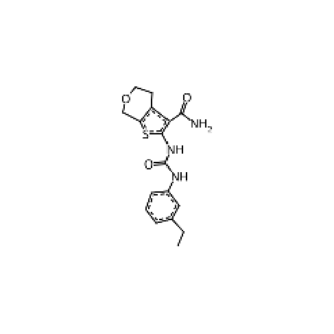 CCc1cccc(NC(=O)Nc2sc3c(c2C(N)=O)CCOC3)c1